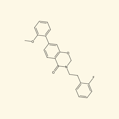 COc1ccccc1-c1ccc2c(c1)OCN(CCc1ccccc1F)C2=O